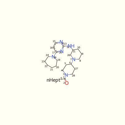 CCCCCCCC(=O)N1CCC(N2CCCC(Nc3nccc(N4CCCCCC4)n3)C2)CC1